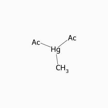 C[C](=O)[Hg]([CH3])[C](C)=O